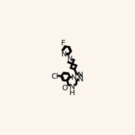 O=C1NCc2nnc(C3CC4(C3)CN(c3ccc(F)cn3)C4)n2-c2ccc(Cl)cc21